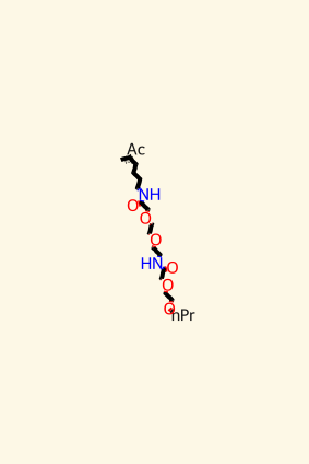 CCCOCCOCC(=O)NCCOCCOCC(=O)NCCCC[C@H](C)C(C)=O